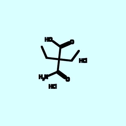 CCC(CC)(C(N)=O)C(=O)O.Cl.Cl